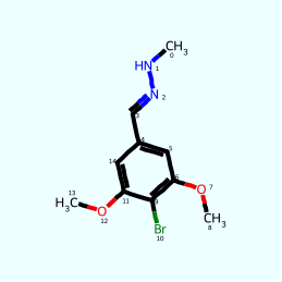 CN/N=C/c1cc(OC)c(Br)c(OC)c1